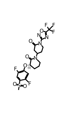 CS(=O)(=O)c1cc(F)c(O[C@H]2CCCN(C3CCN(c4noc(C(F)(F)F)n4)C(=O)C3)C2=O)cc1F